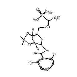 CCOC(=O)C(OC[C@H]1C[C@@H](NC(=O)c2c(N)cccc2Cl)[C@@H]2OC(C)(C)O[C@H]12)P(=O)(OC)OC